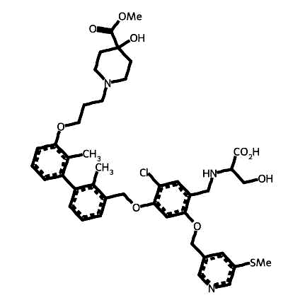 COC(=O)C1(O)CCN(CCCOc2cccc(-c3cccc(COc4cc(OCc5cncc(SC)c5)c(CNC(CO)C(=O)O)cc4Cl)c3C)c2C)CC1